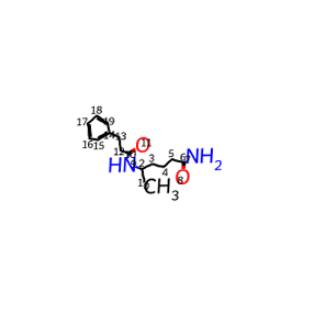 CCC(CCCC(N)=O)NC(=O)CCc1ccccc1